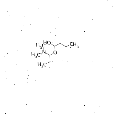 CCCC(O)OC(CC)N(C)C